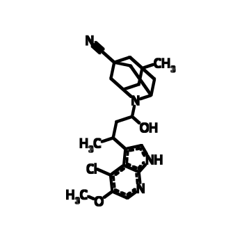 COc1cnc2[nH]cc(C(C)CC(O)N3C4CC5(C)CC3CC(C#N)(C4)C5)c2c1Cl